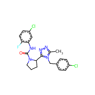 Cc1nnc(C2CCCN2C(=O)Nc2cc(Cl)ccc2F)n1Cc1ccc(Cl)cc1